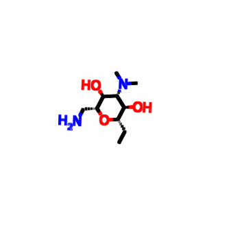 CC[C@@H]1O[C@H](CN)[C@@H](O)[C@H](N(C)C)[C@H]1O